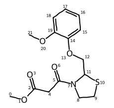 COC(=O)CC(=O)N1CCSC1COc1ccccc1OC